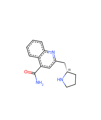 NC(=O)c1cc(C[C@@H]2CCCN2)nc2ccccc12